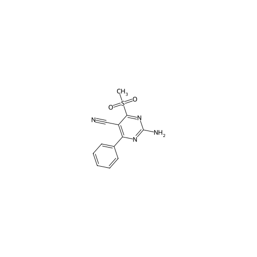 CS(=O)(=O)c1nc(N)nc(-c2ccccc2)c1C#N